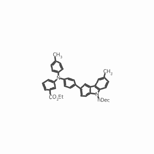 CCCCCCCCCCn1c2ccc(C)cc2c2cc(-c3ccc(N(c4ccc(C)cc4)c4cccc(C(=O)OCC)c4)cc3)ccc21